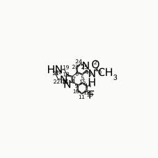 CC(=O)Nc1cc(-c2c(-c3ccc(F)cc3)nn3c2CNCC3)ccn1